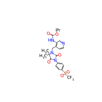 CC(C)OC(=O)Nc1cnccc1CN1C(=O)N(c2ccc(S(=O)(=O)C(F)(F)F)cc2)C(=O)C1(C)C